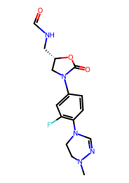 CN1CCN(c2ccc(N3C[C@H](CNC=O)OC3=O)cc2F)C=N1